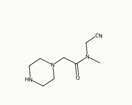 CN(CC#N)C(=O)CN1CCNCC1